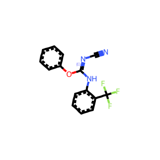 N#C/N=C(\Nc1ccccc1C(F)(F)F)Oc1ccccc1